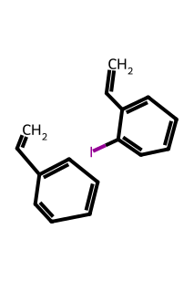 C=Cc1ccccc1.C=Cc1ccccc1I